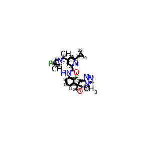 C[C@@H](c1cc(C(=O)Nc2cccc(C3([C@@H](F)c4nncn4C)COC3)c2)nc(C2CC2)c1)N1CC(C)(F)C1